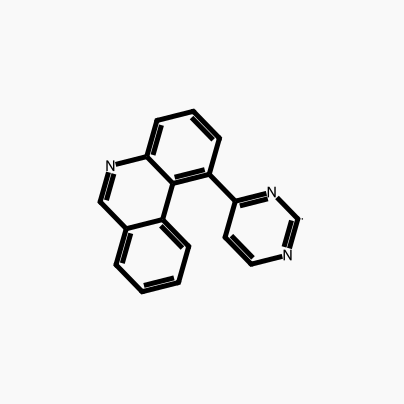 [c]1nccc(-c2cccc3ncc4ccccc4c23)n1